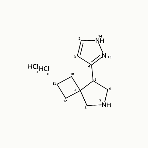 Cl.Cl.c1cc(C2CNCC23CCC3)n[nH]1